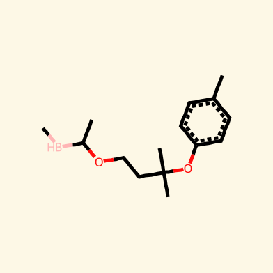 CBC(C)OCCC(C)(C)Oc1ccc(C)cc1